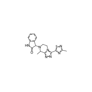 Cc1nsc(-c2nnc3n2CCN(C2C(=O)Nc4ccccc42)C3C)n1